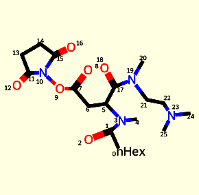 CCCCCCC(=O)N(C)C(CC(=O)ON1C(=O)CCC1=O)C(=O)N(C)CCN(C)C